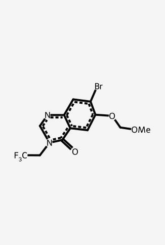 COCOc1cc2c(=O)n(CC(F)(F)F)cnc2cc1Br